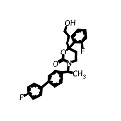 CC(c1ccc(-c2ccc(F)cc2)cc1)N1CCC(CCCO)(c2ccccc2F)OC1=O